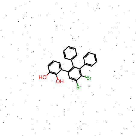 Oc1cccc(-c2cc(Br)c(Br)c(-c3ccccc3)c2-c2ccccc2)c1O